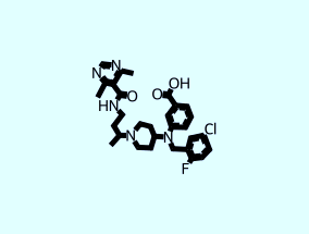 Cc1ncnc(C)c1C(=O)NCCC(C)N1CCC(N(Cc2cc(Cl)ccc2F)c2cccc(C(=O)O)c2)CC1